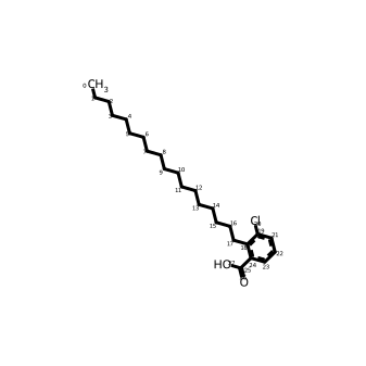 CCCCCCCCCCCCCCCCCCc1c(Cl)cccc1C(=O)O